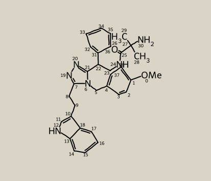 COc1ccc(Cn2c(CCc3c[nH]c4ccccc34)nnc2C(CNC(=O)C(C)(C)N)c2ccccc2)cc1